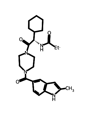 C[CH]C(=O)N[C@H](C(=O)N1CCN(C(=O)c2ccc3[nH]c(C)cc3c2)CC1)C1CCCCC1